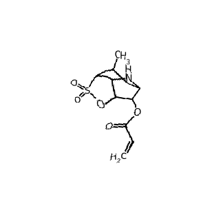 C=CC(=O)OC1C2NC3C1OS(=O)(=O)C3C2C